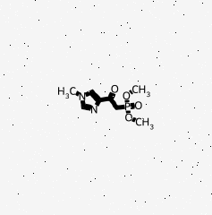 COP(=O)(CC(=O)c1cn(C)cn1)OC